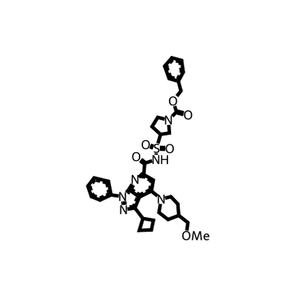 COCC1CCN(c2cc(C(=O)NS(=O)(=O)C3CCN(C(=O)OCc4ccccc4)C3)nc3c2c(C2CCC2)nn3-c2ccccc2)CC1